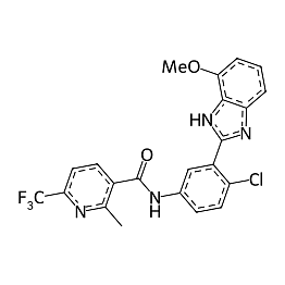 COc1cccc2nc(-c3cc(NC(=O)c4ccc(C(F)(F)F)nc4C)ccc3Cl)[nH]c12